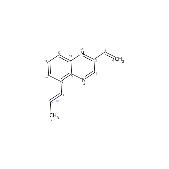 C=Cc1cnc2c(/C=C/C)cccc2n1